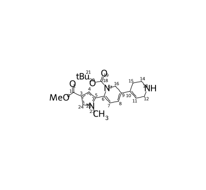 COC(=O)c1cc(C2=CC=C(C3=CCNCC3)CN2C(=O)OC(C)(C)C)n(C)c1